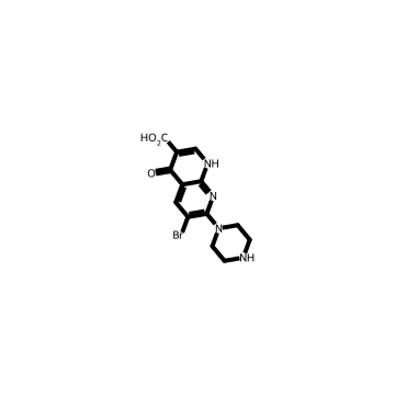 O=C(O)c1c[nH]c2nc(N3CCNCC3)c(Br)cc2c1=O